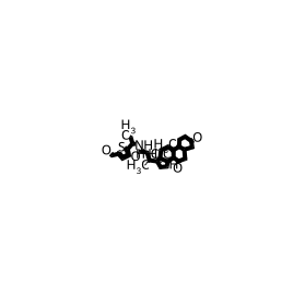 CCC(NC(=O)C[C@@H](C)C1CC[C@H]2C3C(=O)CC4CC(=O)CCC4(C)[C@@]3(C)CCC12C)c1ccc(C=O)s1